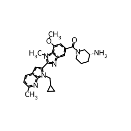 COc1cc(C(=O)N2CCC[C@@H](N)C2)cc2nc(-c3cc4ccc(C)nc4n3CC3CC3)n(C)c12